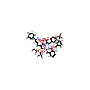 CCC(=O)OC(OP(=O)(CC(Cc1cc(-c2ccccc2)no1)C(=O)NC(Cc1ccc(OC(C)(C)C)cc1)C(=O)O)[C@H](Cc1ccccc1)NC(=O)OCc1ccccc1)C(C)C